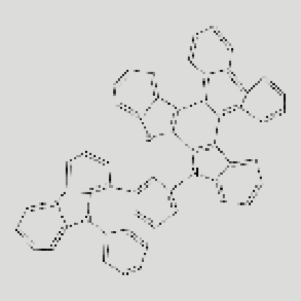 c1ccc(-n2c3ccccc3c3cccc(-c4cccc(-n5c6ccccc6c6c7c8ccccc8c8ccccc8c7c7c8ccccc8sc7c65)c4)c32)cc1